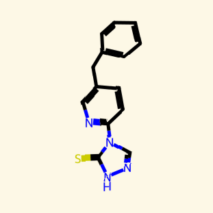 S=c1[nH]ncn1-c1ccc(Cc2ccccc2)cn1